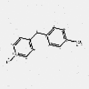 CC[n+]1ccc(Cc2ccc([N+](=O)[O-])cc2)cc1